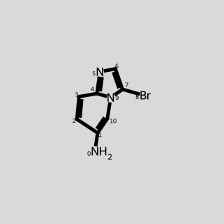 Nc1ccc2ncc(Br)n2c1